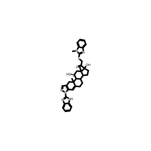 Cn1c(SCC(=O)C2(O)CCC3C4CCC5=Cc6c(cnn6-c6nc7ccccc7[nH]6)CC5(C)C4[C@@H](O)CC32C)nc2ccccc21